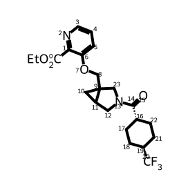 CCOC(=O)c1ncccc1OCC12CC1CN(C(=O)[C@H]1CC[C@H](C(F)(F)F)CC1)C2